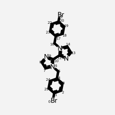 Brc1ccc(Cn2ccnc2-c2nccn2Cc2ccc(Br)cc2)cc1